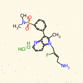 Cc1c(-c2cccc(S(=O)(=O)N(C)C)c2)c2ncccc2n1CC(F)=CCN.Cl.Cl